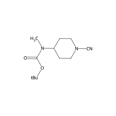 CN(C(=O)OC(C)(C)C)C1CCN(C#N)CC1